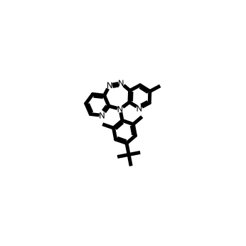 Cc1cnc2c(c1)N=Nc1cccnc1N2c1c(C)cc(C(C)(C)C)cc1C